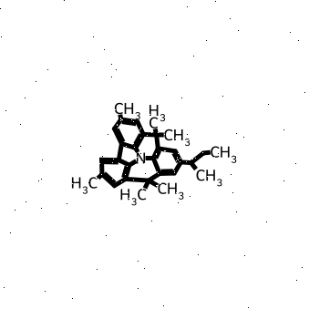 CCC(C)c1cc2c3c(c1)C(C)(C)c1cc(C)cc4c5cc(C)cc(c5n-3c14)C2(C)C